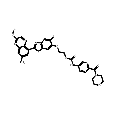 COc1cnc2c(-c3nc4cc(F)c(OCCOC(=O)Nc5ccc(C(=O)N6CCOCC6)nc5)cc4s3)cc(C)cc2n1